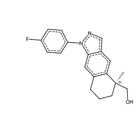 C[C@]1(CO)CCCc2cc3c(cnn3-c3ccc(F)cc3)cc21